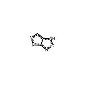 c1nnc2no[nH]c1-2